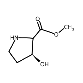 COC(=O)C1NCC[C@@H]1O